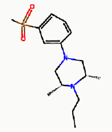 CCCN1[C@H](C)CN(c2cccc(S(C)(=O)=O)c2)C[C@@H]1C